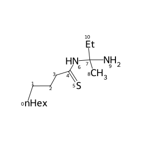 CCCCCCCCCC(=S)NC(C)(N)CC